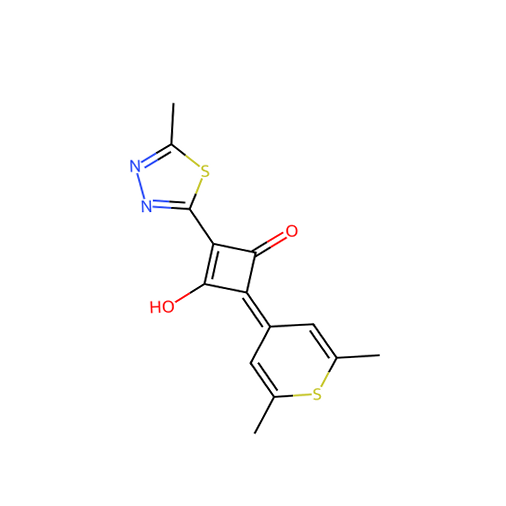 CC1=CC(=C2C(=O)C(c3nnc(C)s3)=C2O)C=C(C)S1